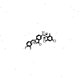 Cc1cc(Cl)cc(Cl)c1S(=O)(=O)Nc1ccc2c(c1)c(=O)[nH]n2Cc1ccc(F)c(F)c1